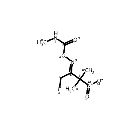 CNC(=O)ON=C(CF)C(C)(C)[N+](=O)[O-]